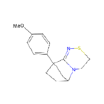 COc1ccc(C23CCC(CC2)N2CCSN=C23)cc1